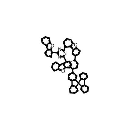 c1ccc2c(c1)-c1ccccc1C21c2ccccc2-c2ccc(-c3ccc(-c4ccc5oc6cccc(-c7nc(-c8cccc9c8oc8ccccc89)nc(-c8cccc9oc%10ccccc%10c89)n7)c6c5c4)cc3)cc21